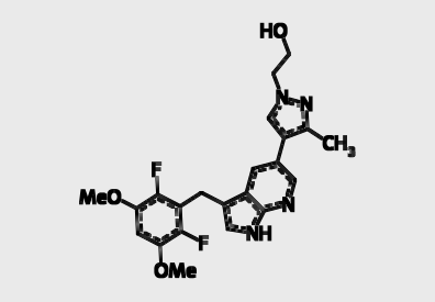 COc1cc(OC)c(F)c(Cc2c[nH]c3ncc(-c4cn(CCO)nc4C)cc23)c1F